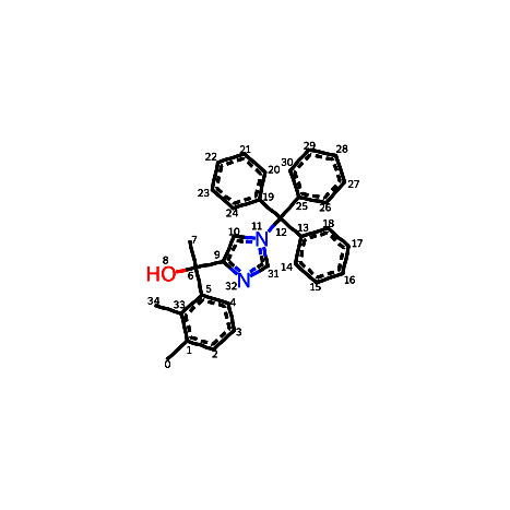 Cc1cccc(C(C)(O)c2cn(C(c3ccccc3)(c3ccccc3)c3ccccc3)cn2)c1C